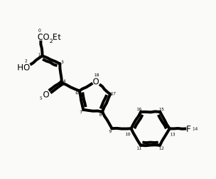 CCOC(=O)/C(O)=C/C(=O)c1cc(Cc2ccc(F)cc2)co1